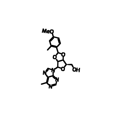 COc1ccc(C2OC3C(O2)[C@@H](CO)OC3n2cnc3c(C)ncnc32)c(C)c1